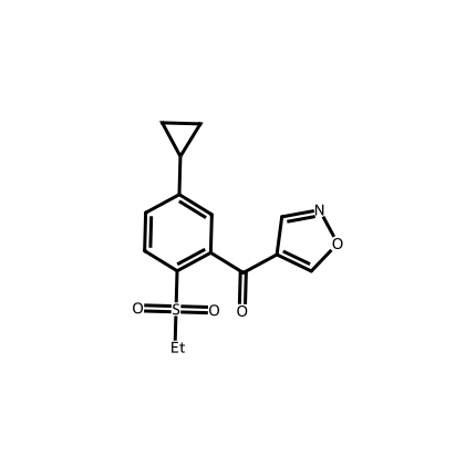 CCS(=O)(=O)c1ccc(C2CC2)cc1C(=O)c1cnoc1